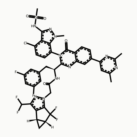 Cc1cc(-c2ccc3c(=O)n(-c4ccc(Cl)c5c(NS(C)(=O)=O)nn(C)c45)c([C@H](Cc4cc(F)cc(F)c4)NC(=O)Cn4nc(C(F)F)c5c4C(F)(F)[C@@H]4C[C@H]54)nc3c2)nc(C)n1